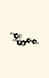 CC(C)C1=CNNC(Nc2ccc3ncc(-c4cnn([C@H]5CCNC5)c4)cc3n2)=C1